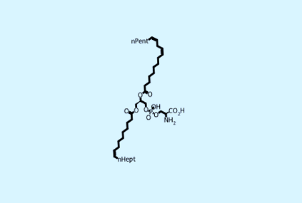 CCCCC/C=C\C/C=C\CCCCCCCC(=O)O[C@H](COC(=O)CCCCCCC/C=C\CCCCCCC)COP(=O)(O)OC[C@H](N)C(=O)O